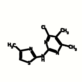 Cc1csc(Nc2nc(C)c(C)c(Cl)n2)n1